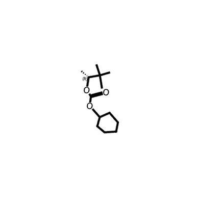 C[C@@H](OC(=O)OC1CCCCC1)C(C)(C)C